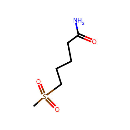 CS(=O)(=O)CCCCC(N)=O